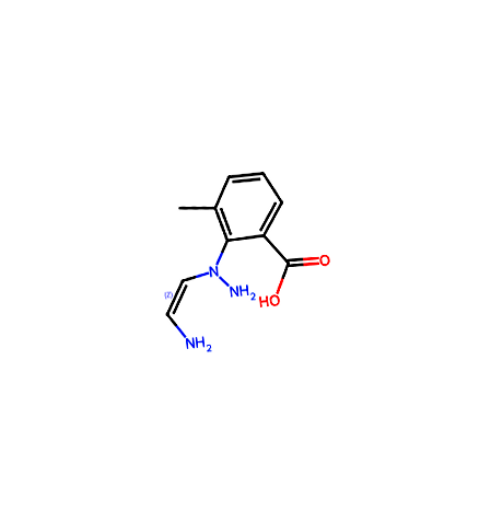 Cc1cccc(C(=O)O)c1N(N)/C=C\N